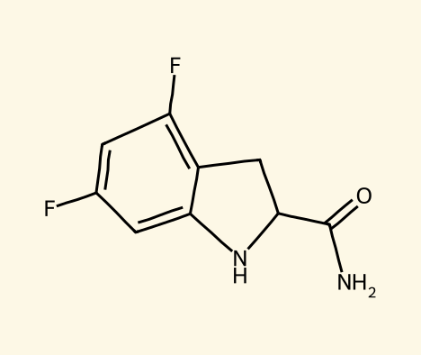 NC(=O)C1Cc2c(F)cc(F)cc2N1